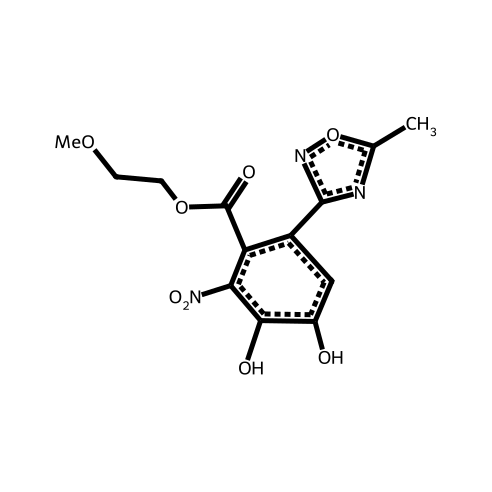 COCCOC(=O)c1c(-c2noc(C)n2)cc(O)c(O)c1[N+](=O)[O-]